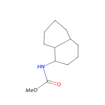 COC(=O)NC1CCCC2CCCCC21